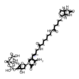 Nc1nc(=O)n([C@H]2C[C@@]3(O)C(OP(=O)(O)OP(=O)(O)OP(=O)(O)O)[C@H]3O2)cc1/C=C/CNC(=O)CCCCCNC(=O)CCCC[C@@H]1SC[C@@H]2NC(=O)N[C@@H]21